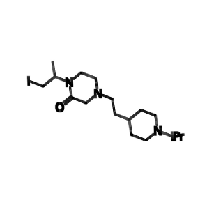 CC(C)N1CCC(CCN2CCN(C(C)CI)C(=O)C2)CC1